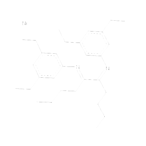 CCCCC(=Nc1cc(CC)cc(CC)c1)C(CCCC)=Nc1cc(CC)cc(CC)c1.[Ni]